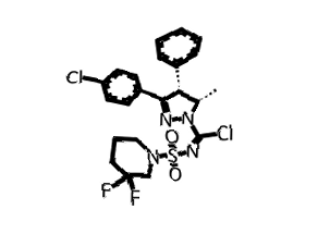 C[C@H]1[C@@H](c2ccccc2)C(c2ccc(Cl)cc2)=NN1/C(Cl)=N\S(=O)(=O)N1CCCC(F)(F)C1